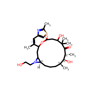 C/C(=C/c1csc(C)n1)C1CC2[C@@H](CCC[C@H](C)[C@H](O)[C@@H](C)C(=O)C(C)(C)C(O)CC(=O)O1)N2CCO